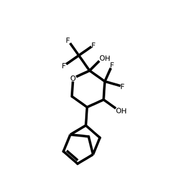 OC1C(C2CC3C=CC2C3)COC(O)(C(F)(F)F)C1(F)F